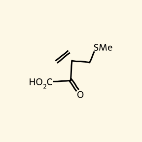 C=C.CSCCC(=O)C(=O)O